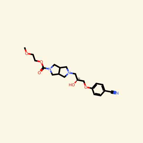 COCCOC(=O)N1CC2CN(C[C@H](O)COc3ccc(C#N)cc3)CC2C1